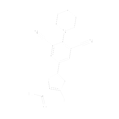 N#Cc1cc(-c2cc(F)c(C(=O)O)s2)cc(C#N)c1N1CCCCC1